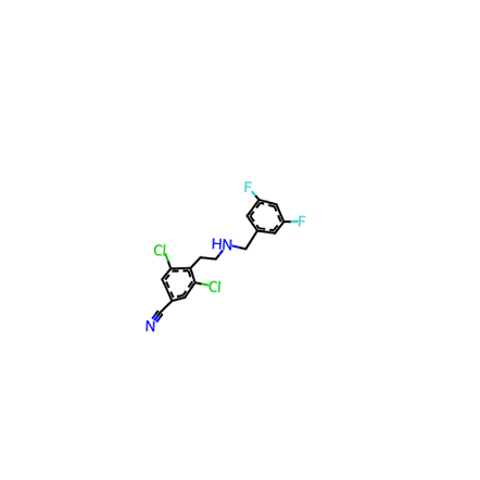 N#Cc1cc(Cl)c(CCNCc2cc(F)cc(F)c2)c(Cl)c1